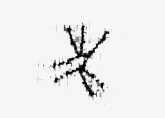 NOCC(=O)NCCCCCC(=O)N[C@@H](CCC(=O)NC(COCCC(=O)NCCN=C(N)N)(COCCC(=O)NCCN=C(N)N)COCCC(=O)NCCN=C(N)N)C(=O)NC(COCCC(=O)NCCN=C(N)N)(COCCC(=O)NCCN=C(N)N)COCCC(=O)NCCN=C(N)N